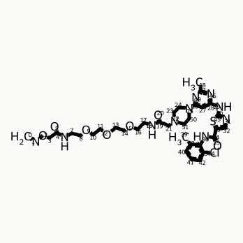 C=NOCC(=O)NCCOCCOCCOCCNC(=O)CN1CCN(c2cc(Nc3ncc(C(=O)Nc4c(C)cccc4Cl)s3)nc(C)n2)CC1